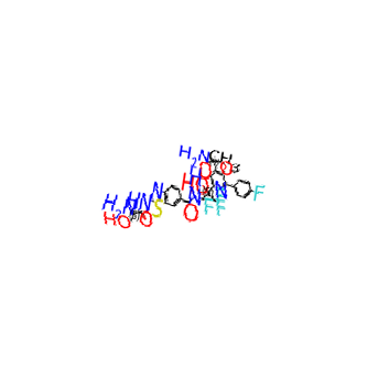 C[C@]1(C(N)=O)COc2c1cc([C@@](O)(CNC(=O)c1ccc3nc(NC(=O)[C@@H](N)CO)sc3c1)C(F)(F)F)nc2-c1ccc(F)cc1